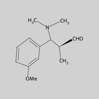 COc1cccc(C([C@H](C)C=O)N(C)C)c1